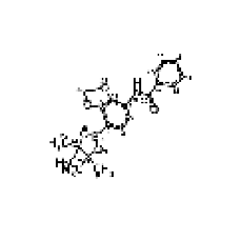 CC1(C)OB(c2ccc(NC(=O)c3ccccc3)c3c2OCO3)OC1(C)C